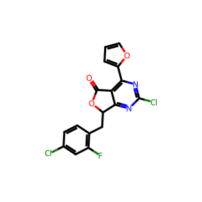 O=C1OC(Cc2ccc(Cl)cc2F)c2nc(Cl)nc(-c3ccco3)c21